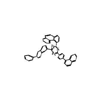 c1ccc(-c2ccc3cc(-c4nc(-c5ccc(-c6cccc7ccccc67)cc5)nc(-c5cccc6ccc7ccccc7c56)n4)ccc3c2)cc1